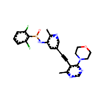 Cc1ncc(C#Cc2c(C)ncnc2N2CCOCC2)cc1N[S+]([O-])c1c(F)cccc1F